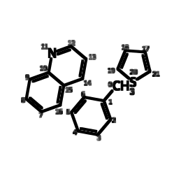 Cc1ccccc1.c1ccc2ncccc2c1.c1ccsc1